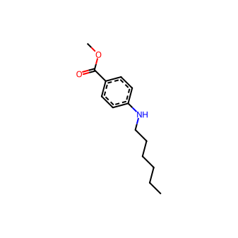 CCCCCCNc1ccc(C(=O)OC)cc1